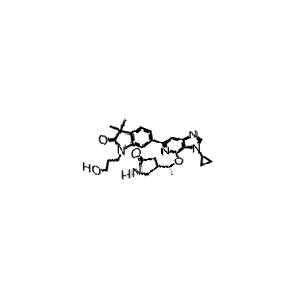 C[C@@H](Oc1nc(-c2ccc3c(c2)N(CCCO)C(=O)C3(C)C)cc2ncn(C3CC3)c12)C1CNC(=O)C1